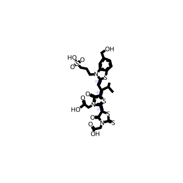 CC(C)C(/C=C1\Sc2ccc(CO)cc2N1CCCS(=O)(=O)O)=c1\s/c(=C2\SC(=S)N(CC(=O)O)C2=O)n(CC(=O)O)c1=O